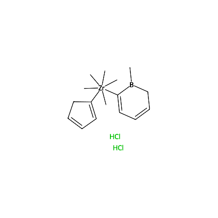 CB1CC=CC=[C]1[Zr]([CH3])([CH3])([CH3])([CH3])([CH3])[C]1=CC=CC1.Cl.Cl